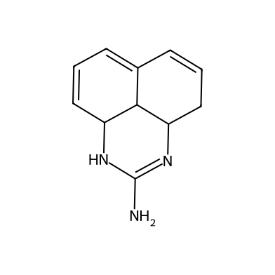 NC1=NC2CC=CC3=CC=CC(N1)C32